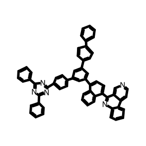 c1ccc(-c2ccc(-c3cc(-c4ccc(-c5nc(-c6ccccc6)nc(-c6ccccc6)n5)cc4)cc(-c4ccc(-c5nc6ccccc6c6ccncc56)c5ccccc45)c3)cc2)cc1